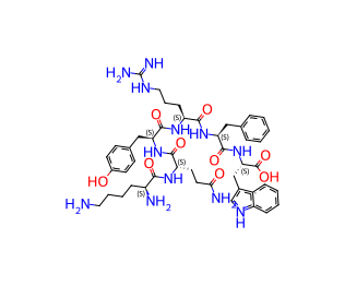 N=C(N)NCCC[C@H](NC(=O)[C@H](Cc1ccc(O)cc1)NC(=O)[C@H](CCC(N)=O)NC(=O)[C@@H](N)CCCCN)C(=O)N[C@@H](Cc1ccccc1)C(=O)N[C@@H](Cc1c[nH]c2ccccc12)C(=O)O